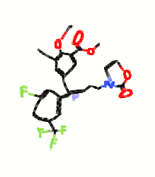 COC(=O)c1cc(/C(=C\CCN2CCOC2=O)c2cc(F)cc(C(F)(F)F)c2)cc(C)c1OC